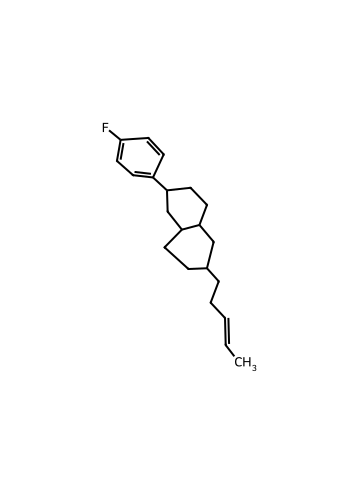 CC=CCCC1CCC2CC(c3ccc(F)cc3)CCC2C1